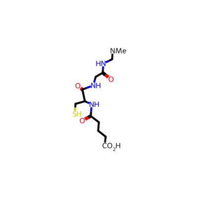 CNCNC(=O)CNC(=O)C(CS)NC(=O)CCCC(=O)O